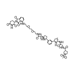 CC(C)(C(=O)NCCOCCOCCNc1cccc2c1C(=O)N(C1CCC(=O)NC1=O)C2=O)N1CCC(c2cccc(C3CSC(NC(=O)CNC(=O)C4CCN(S(C)(=O)=O)C4)N3)c2)N1